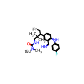 CC(C)CC(c1ccc(Nc2ccc(F)cc2)c(C=N)c1)C(C)(C)CNC(=O)N(C)C(C)(C)C